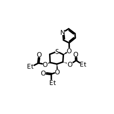 CCC(=O)O[C@@H]1[C@@H](OC(=O)CC)[C@H](OC(=O)CC)CS[C@H]1Oc1cccnc1